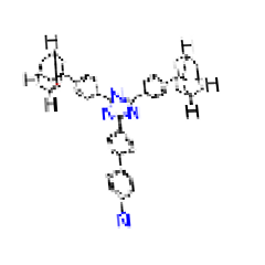 N#Cc1ccc(-c2ccc(-c3nc(-c4ccc(C56C[C@H]7C[C@@H](C5)C[C@@H](C6)C7)cc4)nc(-c4ccc(C56C[C@H]7C[C@@H](C5)C[C@@H](C6)C7)cc4)n3)cc2)cc1